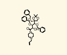 C=CCN1CCN(C(=O)[C@H](O)[C@@H](OCc2ccccc2)[C@H](OCc2ccccc2)[C@]2(COCc3ccccc3)OC(C)(C)O[C@@H]2C)CC1